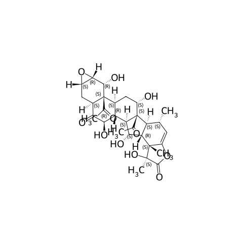 CC(=O)[C@@]12[C@@H]3[C@@H]([C@H](O)[C@H]1[C@@H]1[C@@H](O)C(=O)[C@H]4C[C@@H]5O[C@@H]5[C@H](O)[C@]4(C(C)=O)[C@H]1C[C@@H]2O)[C@]1(C)C(=C[C@H]3C)OC(=O)[C@@]1(C)O